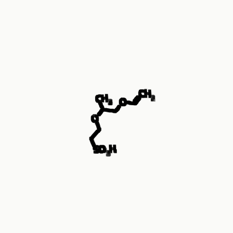 C=COCC(C)OCCS(=O)(=O)O